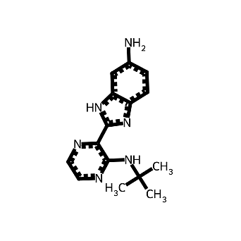 CC(C)(C)Nc1nccnc1-c1nc2ccc(N)cc2[nH]1